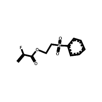 C=C(F)C(=O)OCCS(=O)(=O)c1ccccc1